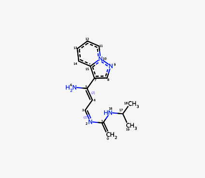 C=C(/N=C\C=C(/N)c1cnn2ccccc12)NC(C)C